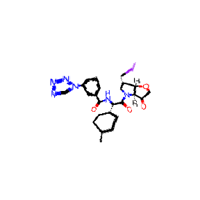 C[C@H]1CC[C@H](C(NC(=O)c2cccc(-n3cnnn3)c2)C(=O)N2C[C@H](CI)[C@H]3OCC(=O)[C@H]32)CC1